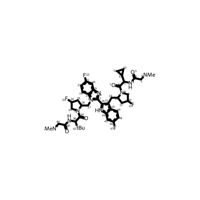 CNCC(=O)NC(C(=O)N1CC(F)CC1Cc1c(-c2nc3cc(F)ccc3n2CC2CC(F)CN2C(=O)C(NC(=O)CNC)C(C)(C)C)[nH]c2cc(F)ccc12)C1CC1